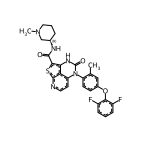 Cc1cc(Oc2c(F)cccc2F)ccc1N1C(=O)Nc2c(C(=O)N[C@@H]3CCCN(C)C3)sc3nccc1c23